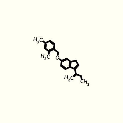 C=C(CC)C1=CCc2cc(OCc3ccc(C)cc3C)ccc21